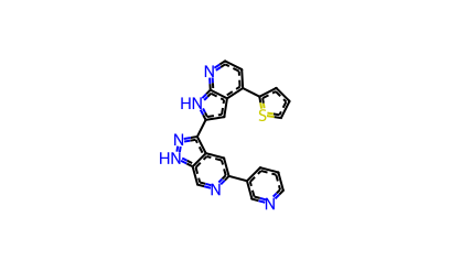 c1cncc(-c2cc3c(-c4cc5c(-c6cccs6)ccnc5[nH]4)n[nH]c3cn2)c1